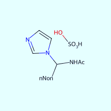 CCCCCCCCCC(NC(C)=O)n1ccnc1.O=S(=O)(O)O